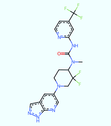 CN(C(=O)Nc1cc(C(F)(F)F)ccn1)C1CCN(c2cnc3[nH]ncc3c2)CC1(F)F